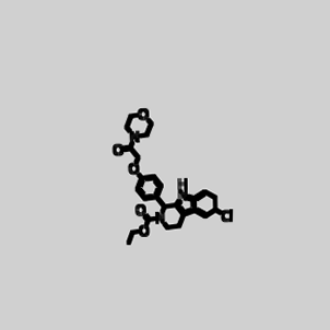 CCOC(=O)N1CCc2c([nH]c3c2=CC(Cl)CC=3)C1c1ccc(OCC(=O)N2CCOCC2)cc1